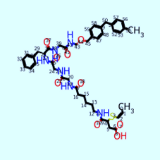 C/C=C\SC(CC(=O)O)C(=O)NCCCCCC(=O)NCC(=O)NCC(=O)N[C@@H](Cc1ccccc1)C(=O)NCC(=O)NCOCc1ccc(Cc2ccc(C)cc2)cc1